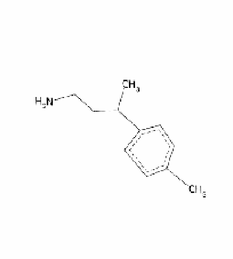 Cc1ccc(C(C)CCN)cc1